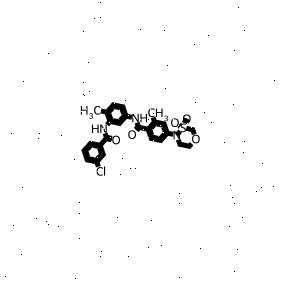 Cc1ccc(NC(=O)c2ccc(N3CCOCS3(=O)=O)cc2C)cc1NC(=O)c1cccc(Cl)c1